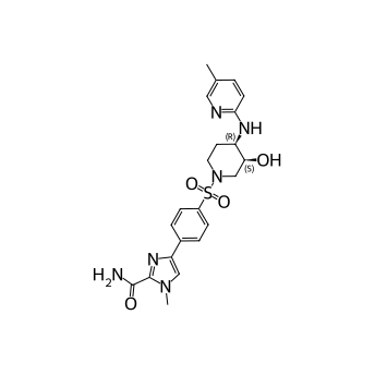 Cc1ccc(N[C@@H]2CCN(S(=O)(=O)c3ccc(-c4cn(C)c(C(N)=O)n4)cc3)C[C@@H]2O)nc1